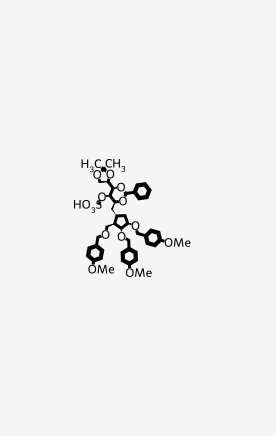 COc1ccc(COC[C@H]2[C@H](C[C@@H]3OC(c4ccccc4)O[C@H]([C@H]4COC(C)(C)O4)[C@@H]3OS(=O)(=O)O)C[C@@H](OCc3ccc(OC)cc3)[C@@H]2OCc2ccc(OC)cc2)cc1